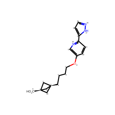 O=C(O)[C@]12C[C@](CCCCOc3ccc(-c4ccn[nH]4)nc3)(C1)C2